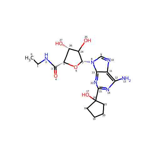 CCNC(=O)[C@H]1O[C@@H](n2cnc3c(N)nc(C4(O)CCCC4)nc32)C(O)[C@H]1O